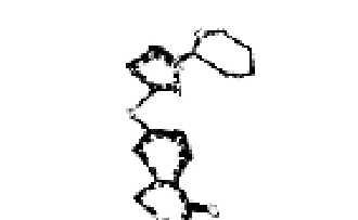 O=c1[nH]ncc2cc(Sc3ccn(C4CCCCO4)n3)ccc12